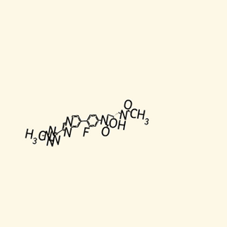 CC(=O)NC[C@H]1CN(c2ccc(-c3ccn4cc(-c5nnn(C)n5)nc4c3)c(F)c2)C(=O)O1